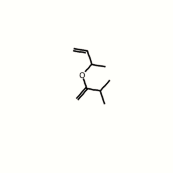 C=CC(C)OC(=C)C(C)C